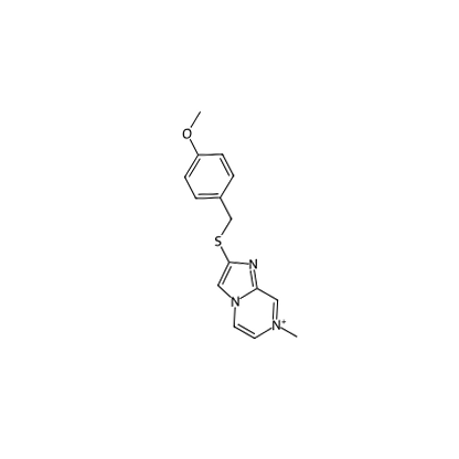 COc1ccc(CSc2cn3cc[n+](C)cc3n2)cc1